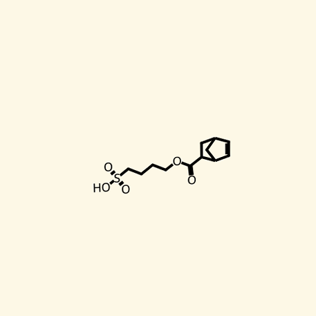 O=C(OCCCCS(=O)(=O)O)C1CC2C=CC1C2